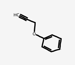 C#CCOc1cc[c]cc1